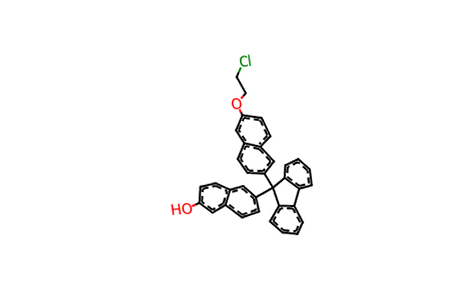 Oc1ccc2cc(C3(c4ccc5cc(OCCCl)ccc5c4)c4ccccc4-c4ccccc43)ccc2c1